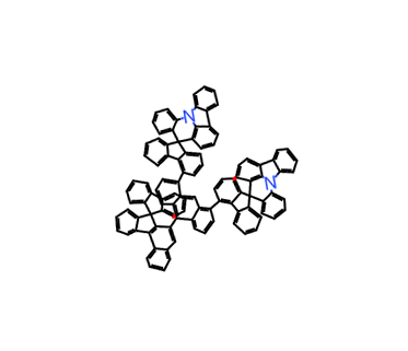 c1ccc2c(c1)-c1ccccc1C21c2ccccc2-c2c1c(-c1c3cccc(-c4cccc5c4-c4ccccc4C54c5ccccc5-n5c6ccccc6c6cccc4c65)c3cc3c(-c4cccc5c4-c4ccccc4C54c5ccccc5-n5c6ccccc6c6cccc4c65)cccc13)cc1ccccc21